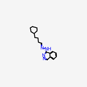 C(/CCCC1CCCCC1)=N\Nc1nncc2ccccc12